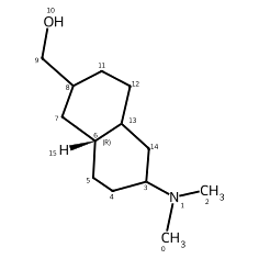 CN(C)C1CC[C@@H]2CC(CO)CCC2C1